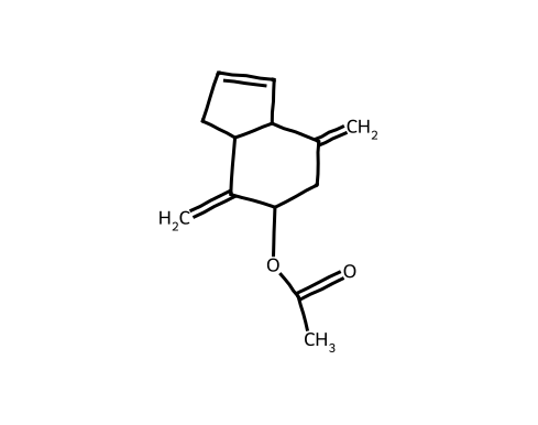 C=C1CC(OC(C)=O)C(=C)C2CC=CC12